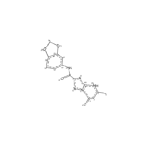 Cc1cc(=O)n2nc(C(=O)Nc3ccc4c(c3)OCO4)nc2[nH]1